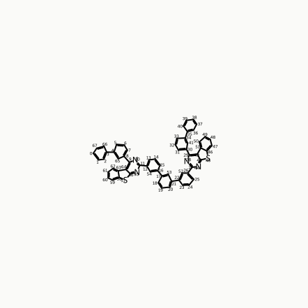 c1ccc(-c2cccc(-c3nc(-c4cccc(-c5cccc(-c6cccc(-c7nc(-c8cccc(-c9ccccc9)c8)c8c(n7)sc7ccccc78)c6)c5)c4)nc4sc5ccccc5c34)c2)cc1